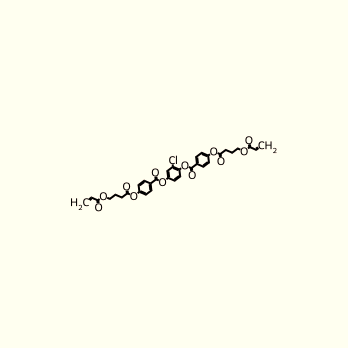 C=CC(=O)OCCCC(=O)Oc1ccc(C(=O)Oc2ccc(OC(=O)c3ccc(OC(=O)CCCOC(=O)C=C)cc3)c(Cl)c2)cc1